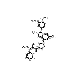 COc1ccc(-c2c(C)nc3c(N4CC[C@@H](NC(=O)[C@@H](OC)c5ccccc5)C4)cc(C)nn23)cc1OC